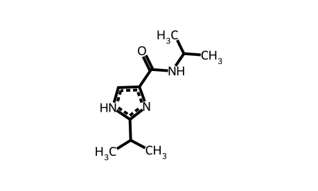 CC(C)NC(=O)c1c[nH]c(C(C)C)n1